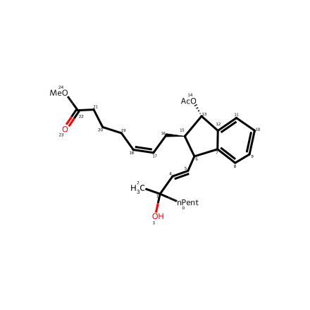 CCCCCC(C)(O)C=CC1c2ccccc2[C@@H](OC(C)=O)[C@@H]1C/C=C\CCCC(=O)OC